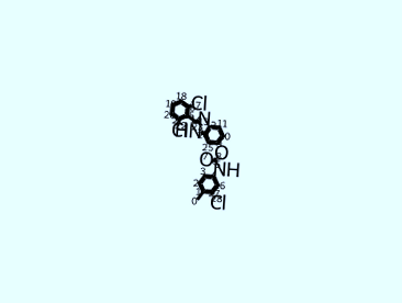 Cc1ccc(NC(=O)Oc2ccc3nc(-c4c(Cl)cccc4Cl)[nH]c3c2)cc1Cl